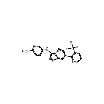 Cc1ccc(Nc2nnc3cc(-c4ncccc4C(F)(F)F)cnn23)cc1